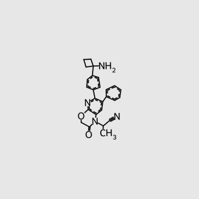 CC(C#N)N1C(=O)COc2nc(-c3ccc(C4(N)CCC4)cc3)c(-c3ccccc3)cc21